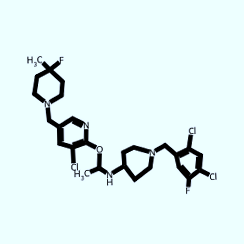 CC(NC1CCN(Cc2cc(F)c(Cl)cc2Cl)CC1)Oc1ncc(CN2CCC(C)(F)CC2)cc1Cl